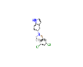 CCOC(=O)CN(Sc1cc(Cl)cc(Cl)c1)c1ccc2[nH]ccc2c1